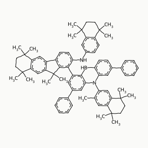 Cc1cc2c(cc1N1c3cc(-c4ccccc4)ccc3Bc3c(-c4c(Nc5ccc6c(c5)C(C)(C)CCC6(C)C)ccc5c4C(C)(C)c4cc6c(cc4-5)C(C)(C)CCC6(C)C)cc(-c4ccccc4)cc31)C(C)(C)CCC2(C)C